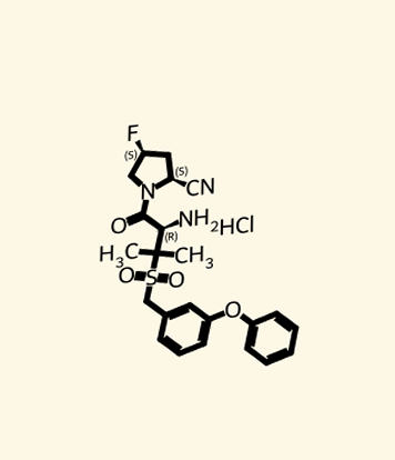 CC(C)([C@H](N)C(=O)N1C[C@@H](F)C[C@H]1C#N)S(=O)(=O)Cc1cccc(Oc2ccccc2)c1.Cl